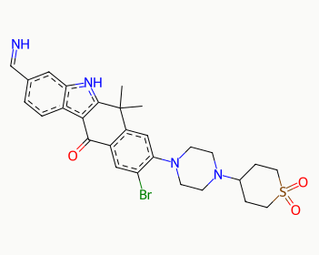 CC1(C)c2cc(N3CCN(C4CCS(=O)(=O)CC4)CC3)c(Br)cc2C(=O)c2c1[nH]c1cc(C=N)ccc21